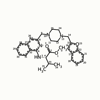 COC(=O)[C@@H](Nc1nc(CN2CCN(Cc3cc4ccccc4o3)CC2)nc2ccccc12)C(C)C